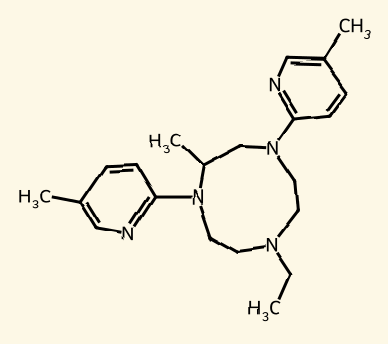 CCN1CCN(c2ccc(C)cn2)CC(C)N(c2ccc(C)cn2)CC1